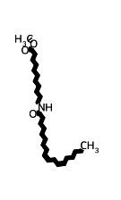 CCCCC/C=C\C/C=C\CCCCCCCC(=O)NCCCCCCCCCCC(=O)OC